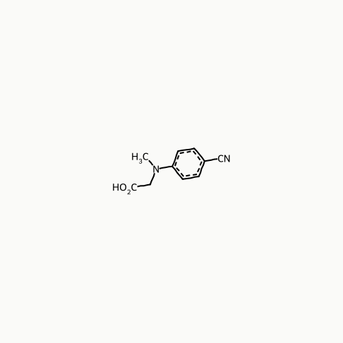 CN(CC(=O)O)c1ccc(C#N)cc1